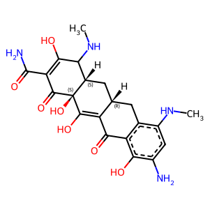 CNc1cc(N)c(O)c2c1C[C@H]1C[C@H]3C(NC)C(O)=C(C(N)=O)C(=O)[C@@]3(O)C(O)=C1C2=O